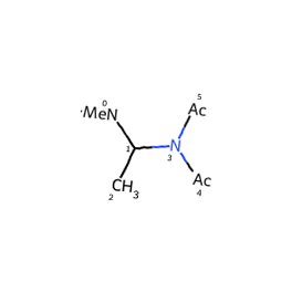 C[N]C(C)N(C(C)=O)C(C)=O